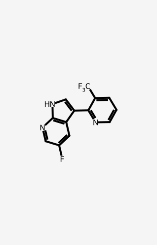 Fc1cnc2[nH]cc(-c3ncccc3C(F)(F)F)c2c1